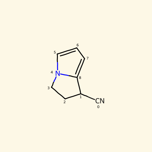 N#CC1CCn2cccc21